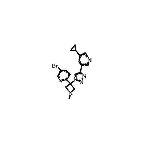 CN1CC(c2ccc(Br)cn2)(n2cc(-c3cncc(C4CC4)c3)nn2)C1